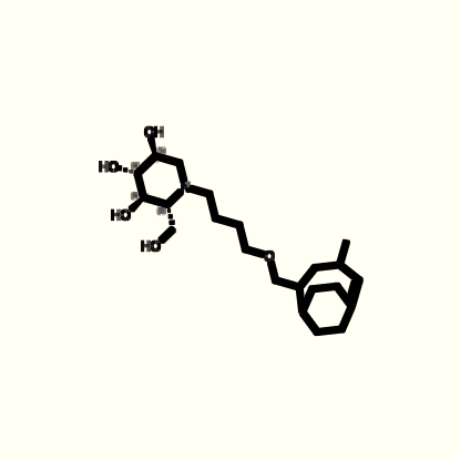 CC1C=C2CCC(CC2)C(COCCCCN2C[C@H](O)[C@@H](O)[C@H](O)[C@H]2CO)C1